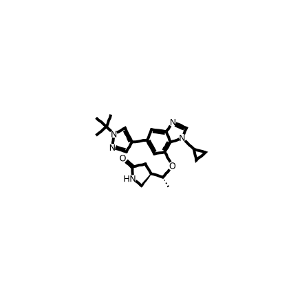 C[C@@H](Oc1cc(-c2cnn(C(C)(C)C)c2)cc2ncn(C3CC3)c12)[C@H]1CNC(=O)C1